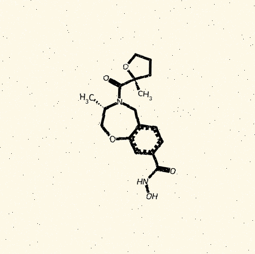 C[C@H]1COc2cc(C(=O)NO)ccc2CN1C(=O)[C@@]1(C)CCCO1